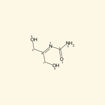 NC(=O)N=C(CO)CO